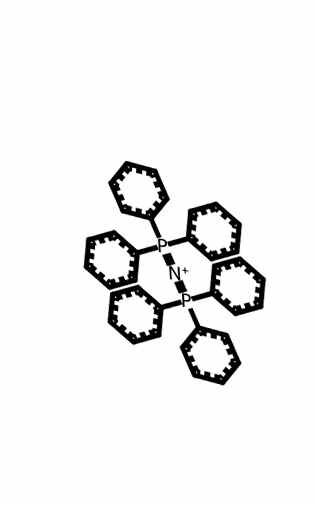 c1ccc(P(=[N+]=P(c2ccccc2)(c2ccccc2)c2ccccc2)(c2ccccc2)c2ccccc2)cc1